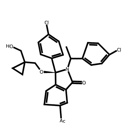 CC(=O)c1ccc2c(c1)C(=O)N(C(C)c1ccc(Cl)cc1)[C@@]2(OCC1(CO)CC1)c1ccc(Cl)cc1